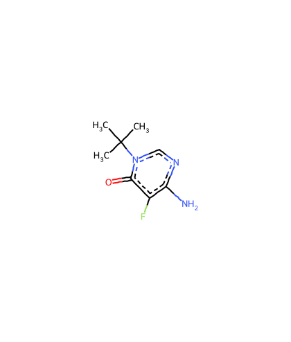 CC(C)(C)n1cnc(N)c(F)c1=O